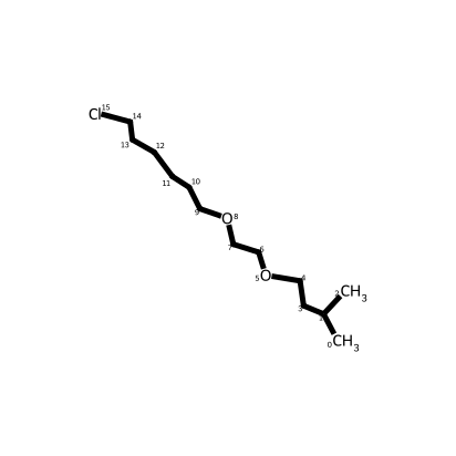 CC(C)CCOCCOCCCCCCCl